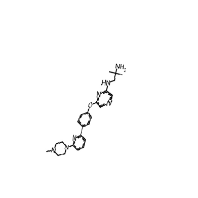 CN1CCN(c2cccc(-c3ccc(Oc4cncc(NCC(C)(C)N)n4)cc3)n2)CC1